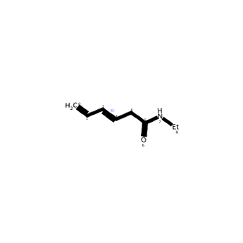 C=C/C=C/CC(=O)NCC